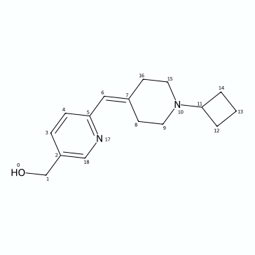 OCc1ccc(C=C2CCN(C3CCC3)CC2)nc1